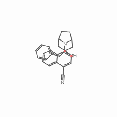 N#Cc1ccc(N2C3CCC2CC(O)(Cc2ccccc2)C3)c2ccccc12